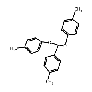 Cc1ccc(OC(Oc2ccc(C)cc2)c2ccc(C)cc2)cc1